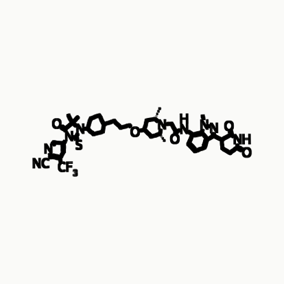 C[C@@H]1CC(OCCCC2CCC(N3C(=S)N(c4cnc(C#N)c(C(F)(F)F)c4)C(=O)C3(C)C)CC2)C[C@H](C)N1CC(=O)Nc1cccc2c(C3CCC(=O)NC3=O)nn(C)c12